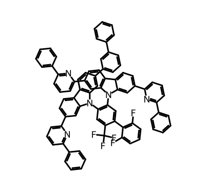 Fc1cccc(F)c1-c1cc(-n2c3cc(-c4cccc(-c5ccccc5)n4)ccc3c3ccc(-c4cccc(-c5ccccc5)n4)cc32)c(-n2c3cc(-c4cccc(-c5ccccc5)c4)ccc3c3ccc(-c4cccc(-c5ccccc5)n4)cc32)cc1C(F)(F)F